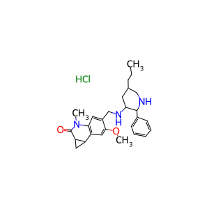 CCCC1CNC(c2ccccc2)C(NCc2cc3c(cc2OC)C2CC2C(=O)N3C)C1.Cl